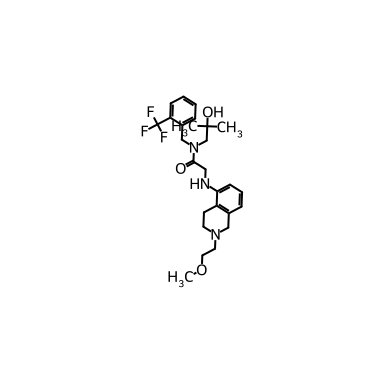 COCCN1CCc2c(cccc2NCC(=O)N(Cc2ccccc2C(F)(F)F)CC(C)(C)O)C1